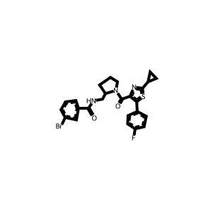 O=C(NCC1CCCN1C(=O)c1nc(C2CC2)sc1-c1ccc(F)cc1)c1cccc(Br)c1